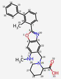 CNc1cc2oc(-c3cccc(-c4ccccc4)c3C)nc2cc1CN1CCCCC1C(=O)O